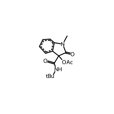 CC(=O)OC1(C(=O)NC(C)(C)C)C(=O)N(C)c2ccccc21